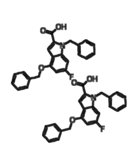 O=C(O)c1cc2c(OCc3ccccc3)cc(F)cc2n1Cc1ccccc1.O=C(O)c1cc2c(OCc3ccccc3)cc(F)cc2n1Cc1ccccc1